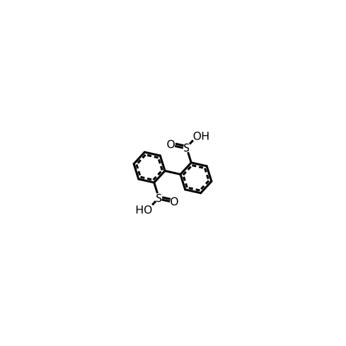 O=S(O)c1ccccc1-c1ccccc1S(=O)O